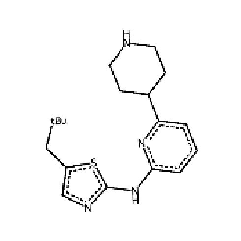 CC(C)(C)Cc1cnc(Nc2cccc(C3CCNCC3)n2)s1